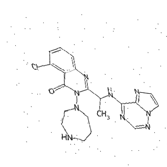 CC(Nc1ncnn2ccnc12)c1nc2cccc(Cl)c2c(=O)n1N1CCCNCC1